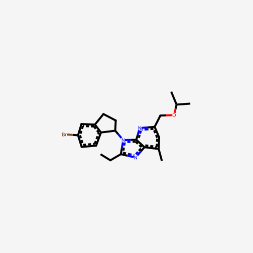 CCc1nc2c(C)cc(COC(C)C)nc2n1C1CCc2cc(Br)ccc21